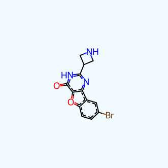 O=c1[nH]c(C2CNC2)nc2c1oc1ccc(Br)cc12